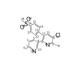 Cc1ccc(-c2nc(C)c(Cl)cc2-c2ccc(S(C)(=O)=O)cc2)cn1